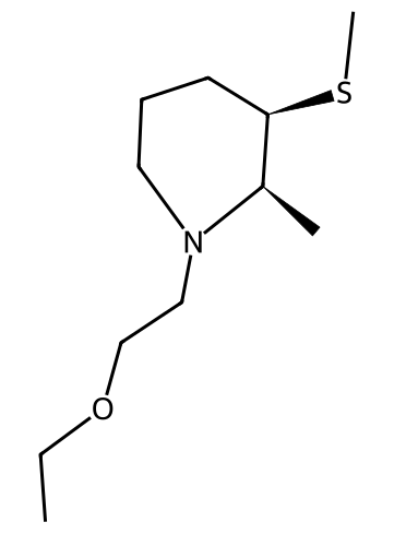 CCOCCN1CCC[C@@H](SC)[C@H]1C